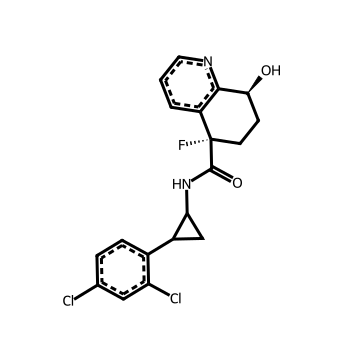 O=C(NC1CC1c1ccc(Cl)cc1Cl)[C@]1(F)CC[C@H](O)c2ncccc21